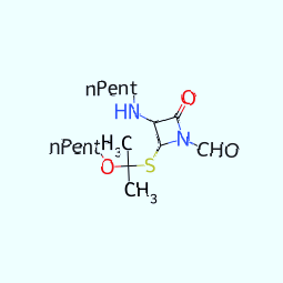 CCCCCNC1C(=O)N(C=O)C1SC(C)(C)OCCCCC